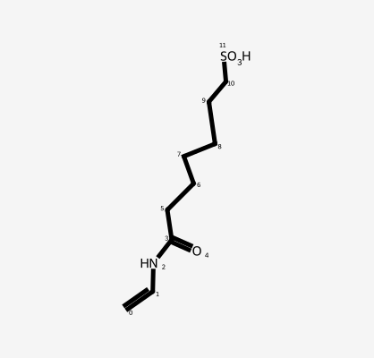 C=CNC(=O)CCCCCCS(=O)(=O)O